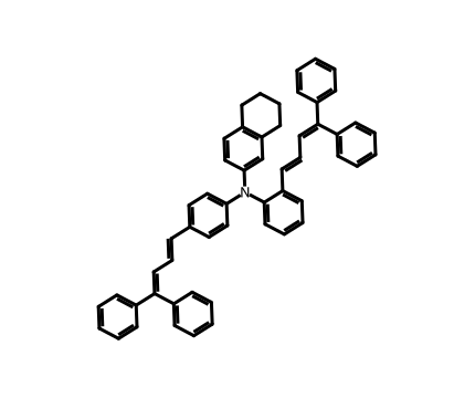 C(/C=C/c1ccc(N(c2ccc3c(c2)CCCC3)c2ccccc2/C=C/C=C(c2ccccc2)c2ccccc2)cc1)=C(c1ccccc1)c1ccccc1